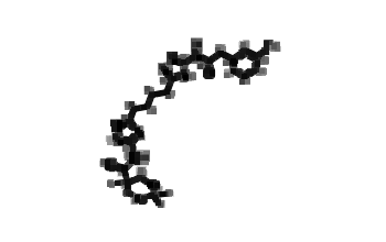 CC1(C)OCC(C)(C(=O)Nc2nnc(CCCCc3nnc(NC(=O)Cc4cccc(F)c4)s3)s2)CO1